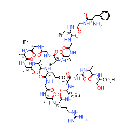 CC[C@H](C)[C@H](NC(=O)[C@H](CCCNC(=N)N)NC(=O)[C@H](C)NC(=O)CNC(=O)[C@H](CCC(=O)O)NC(=O)[C@H](C)NC(=O)[C@H](C)NC(=O)[C@H](C)NC(=O)[C@H](CC(C)C)NC(=O)CNC(=O)[C@@H](NC(=O)[C@H](C)NC(=O)CNC(=O)[C@H](CC(C)C)NC(=O)CNC(=O)[C@@H](N)Cc1ccccc1)C(C)C)C(=O)N[C@@H](C)C(=O)NCC(=O)N[C@@H](C)C(=O)N[C@@H](CO)C(=O)O